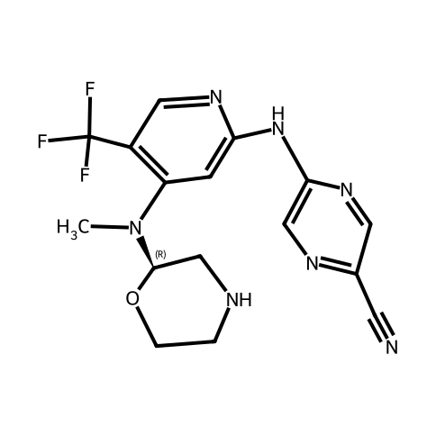 CN(c1cc(Nc2cnc(C#N)cn2)ncc1C(F)(F)F)[C@H]1CNCCO1